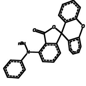 CCCCN(c1ccccc1)c1cccc2c1C(=O)OC21c2ccccc2Oc2ccccc21